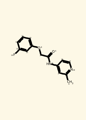 Cc1cc(NC(=O)COc2cccc(F)c2)ccn1